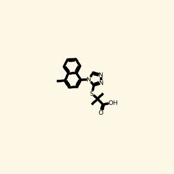 Cc1ccc(-n2cnnc2SC(C)(C)C(=O)O)c2ccccc12